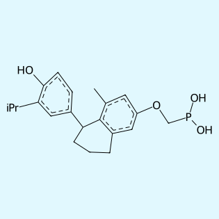 Cc1cc(OCP(O)O)cc2c1C(c1ccc(O)c(C(C)C)c1)CCC2